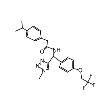 CC(C)c1ccc(CC(=O)N[C@@H](c2ccc(OCC(F)(F)F)cc2)c2cn(C)nn2)cc1